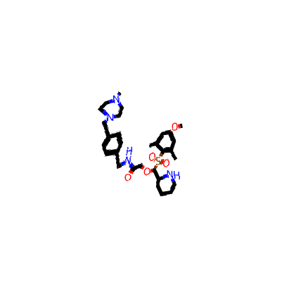 COc1cc(C)c(S(=O)(=O)C(OCC(=O)NCc2ccc(CN3CCN(C)CC3)cc2)C2CCCCN2)c(C)c1